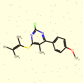 CC/C(C)=C(\C)Sc1nc(Cl)nc(-c2ccc(OC(F)(F)F)cc2)c1C